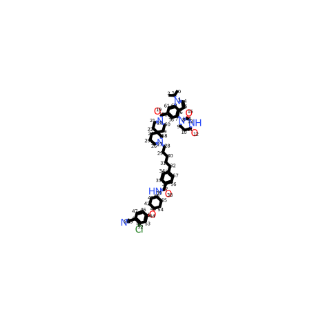 CC(C)n1ccc2c(N3CCC(=O)NC3=O)cc(C(=O)N3CCC4(CCCN(CCCCCc5ccc(C(=O)N[C@H]6CC[C@H](Oc7ccc(C#N)c(Cl)c7)CC6)cc5)C4)CC3)cc21